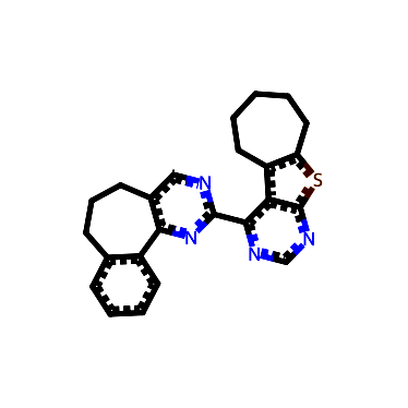 [c]1nc(-c2ncnc3sc4c(c23)CCCCC4)nc2c1CCCc1ccccc1-2